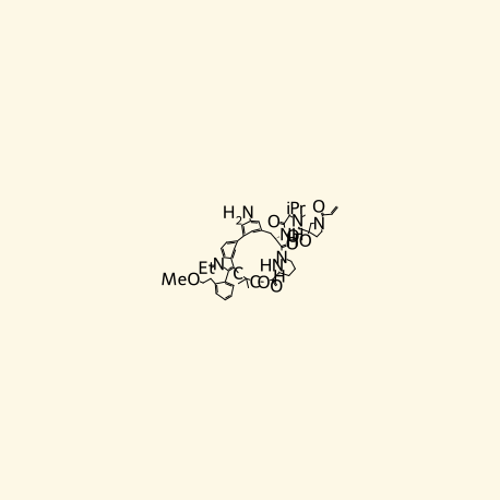 C=CC(=O)N1CCC(O)(C(=O)N(C)[C@H](C(=O)N[C@H]2Cc3cc(N)cc(c3)-c3ccc4c(c3)c(c(-c3ccccc3CCOC)n4CC)CC(C)(C)COC(=O)[C@@H]3CCCN(N3)C2=O)C(C)C)C1